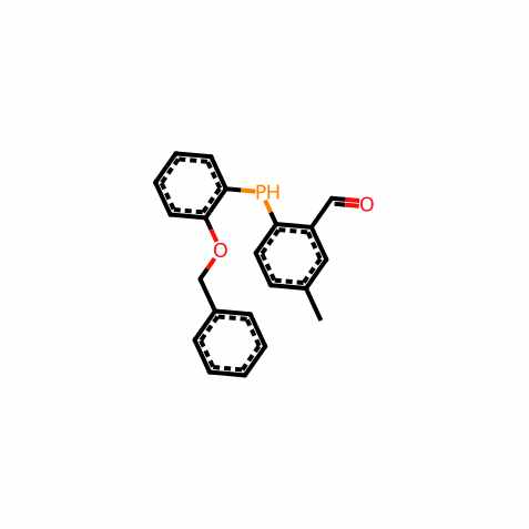 Cc1ccc(Pc2ccccc2OCc2ccccc2)c(C=O)c1